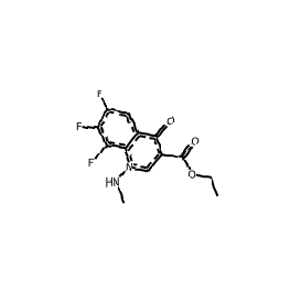 CCOC(=O)c1cn(NC)c2c(F)c(F)c(F)cc2c1=O